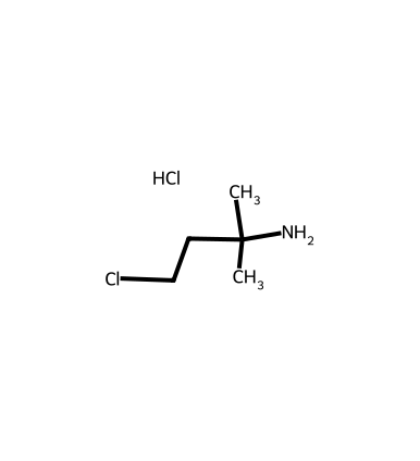 CC(C)(N)CCCl.Cl